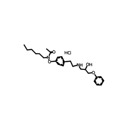 CCCCCCN(Oc1ccc(CCNCC(O)COc2ccccc2)cc1)C(C)=O.Cl